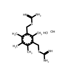 Cc1c(C)c(CSC(=N)N)c(C)c(CSC(=N)N)c1C.Cl.Cl